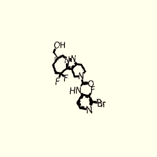 O=C(Nc1ccnc(Br)c1F)N1CCc2nn3c(c2C1)C(F)(F)CC[C@@H](CO)C3